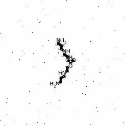 NCCCNCCO[PH](=O)OCCNCCCN